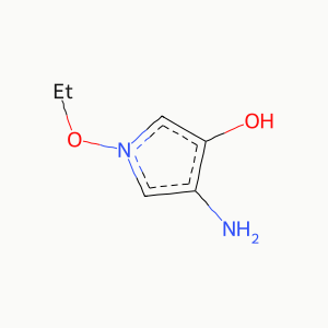 CCOn1cc(N)c(O)c1